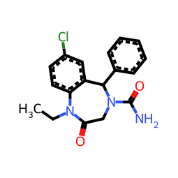 CCN1C(=O)CN(C(N)=O)C(c2ccccc2)c2cc(Cl)ccc21